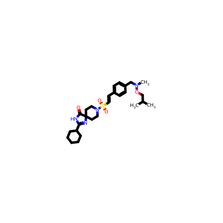 CC(C)CON(C)Cc1ccc(/C=C/S(=O)(=O)N2CCC3(CC2)N=C(C2CCCCC2)NC3=O)cc1